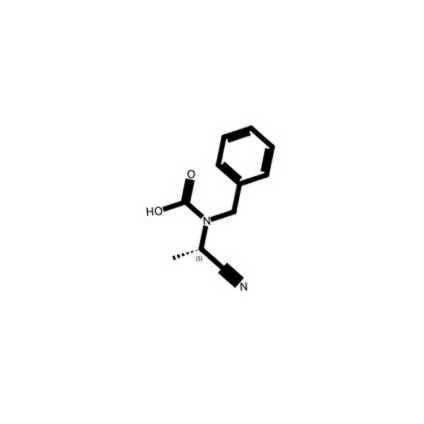 C[C@@H](C#N)N(Cc1ccccc1)C(=O)O